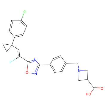 O=C(O)C1CN(Cc2ccc(-c3noc(C(F)=CC4(c5ccc(Cl)cc5)CC4)n3)cc2)C1